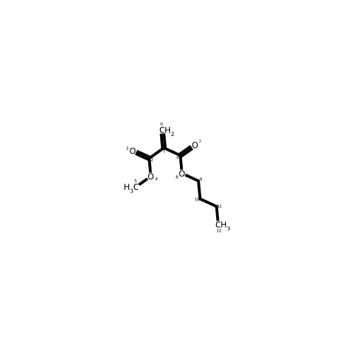 C=C(C(=O)OC)C(=O)OCCCC